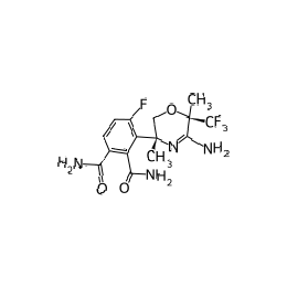 C[C@@]1(c2c(F)ccc(C(N)=O)c2C(N)=O)CO[C@@](C)(C(F)(F)F)C(N)=N1